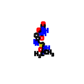 CN(C)C(=O)Nc1ccc(C2=C3C(=O)c4c(NC(=O)NN5CCOCC5)cccc4C3N=N2)s1